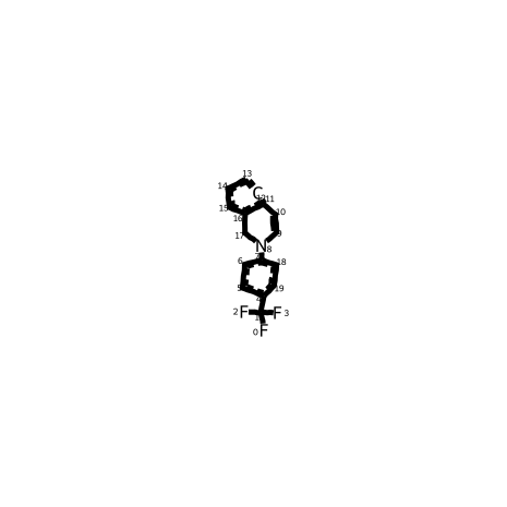 FC(F)(F)c1ccc(N2C=Cc3ccccc3C2)cc1